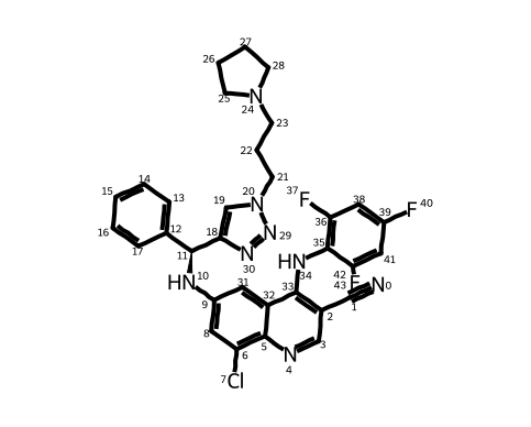 N#Cc1cnc2c(Cl)cc(N[C@@H](c3ccccc3)c3cn(CCCN4CCCC4)nn3)cc2c1Nc1c(F)cc(F)cc1F